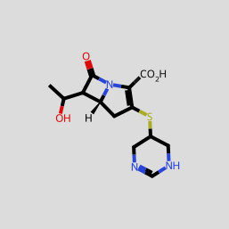 CC(O)C1C(=O)N2C(C(=O)O)=C(SC3CN=CNC3)C[C@H]12